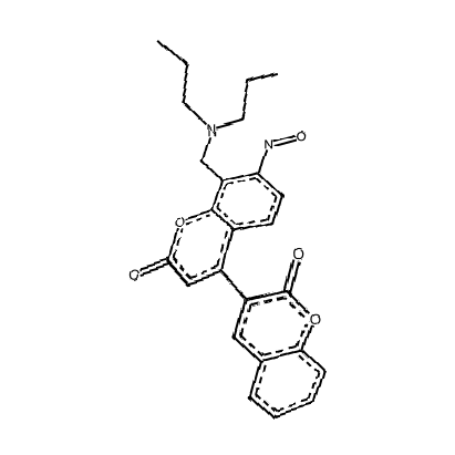 CCCN(CCC)Cc1c(N=O)ccc2c(-c3cc4ccccc4oc3=O)cc(=O)oc12